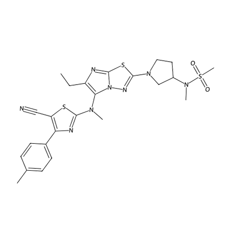 CCc1nc2sc(N3CCC(N(C)S(C)(=O)=O)C3)nn2c1N(C)c1nc(-c2ccc(C)cc2)c(C#N)s1